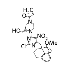 C=CC(=O)N1CCN(c2nc(Cl)nc(CC3(C(=O)OC)CCCc4ccccc43)c2[N+](=O)[O-])[C@@H](CO)C1